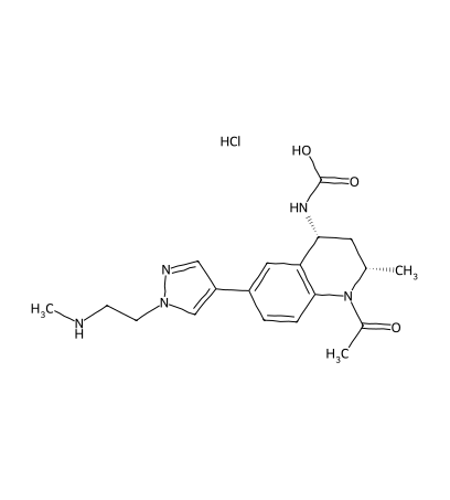 CNCCn1cc(-c2ccc3c(c2)[C@H](NC(=O)O)C[C@H](C)N3C(C)=O)cn1.Cl